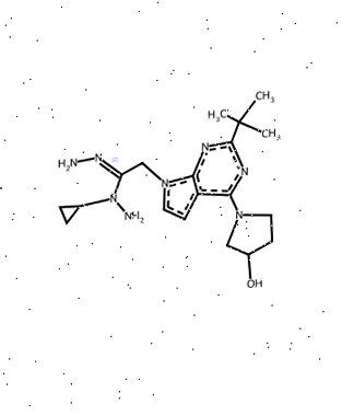 CC(C)(C)c1nc(N2CCC(O)C2)c2ccn(C/C(=N/N)N(N)C3CC3)c2n1